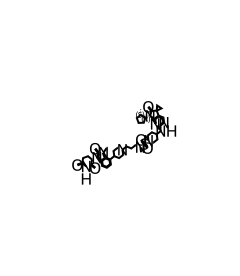 C[C@H]1CCC[C@H]1N1C(=O)C2(CC2)c2cnc(NC3CCN(S(=O)(=O)N(C)CCCN4CCC(c5cccc6c5n(C)c(=O)n6C5CCC(=O)NC5=O)CC4)CC3)nc21